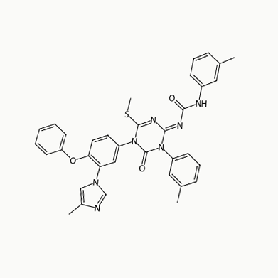 CSc1nc(=NC(=O)Nc2cccc(C)c2)n(-c2cccc(C)c2)c(=O)n1-c1ccc(Oc2ccccc2)c(-n2cnc(C)c2)c1